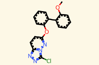 COc1ccccc1-c1ccccc1Oc1ccc2nnc(Cl)n2n1